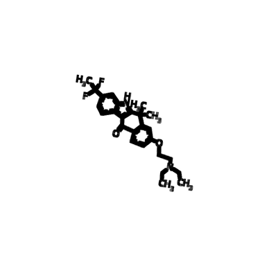 CCN(CC)CCOc1ccc2c(c1)C(C)(C)c1[nH]c3cc(C(C)(F)F)ccc3c1C2=O